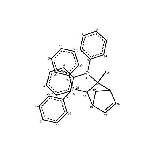 CC1(P(c2ccccc2)c2ccccc2)C2C=CC(C2)C1P(c1ccccc1)c1ccccc1